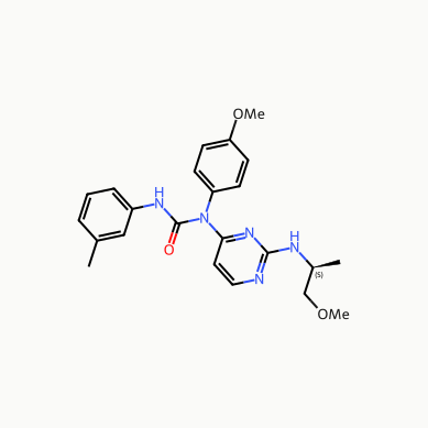 COC[C@H](C)Nc1nccc(N(C(=O)Nc2cccc(C)c2)c2ccc(OC)cc2)n1